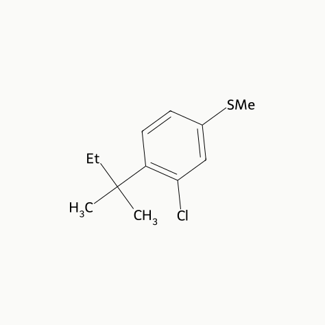 CCC(C)(C)c1ccc(SC)cc1Cl